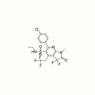 CCNS(=O)(=O)c1c(-c2ccc(Cl)cc2)nc2c(c1CC(F)(F)F)C(F)(F)C(=O)N2C